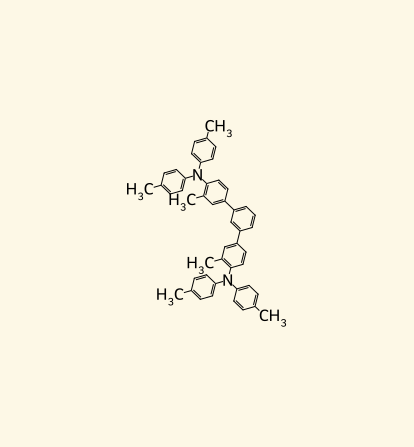 Cc1ccc(N(c2ccc(C)cc2)c2ccc(-c3cccc(-c4ccc(N(c5ccc(C)cc5)c5ccc(C)cc5)c(C)c4)c3)cc2C)cc1